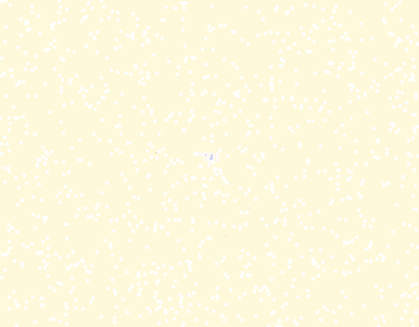 C=C(C(=O)O)C(=O)ONc1cccc(CC)c1